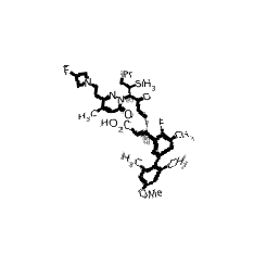 COc1cc(C)c(-c2cc(C)c(F)c([C@@H](CCC(=O)[C@H](C([SiH3])CC(C)C)n3nc(CCN4CC(F)C4)c(C)cc3=O)CC(=O)O)c2)c(C)c1